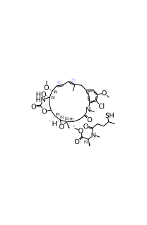 COc1cc2cc(c1Cl)N(C)C(=O)C[C@H](COC(=O)[C@H](C)N(C)C(=O)CCC(C)S)[C@]1(C)O[C@H]1[C@H](C)C1C[C@@](O)(NC(=O)O1)[C@H](OC)/C=C/C=C(\C)C2